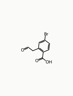 O=CCc1cc(Br)ccc1C(=O)O